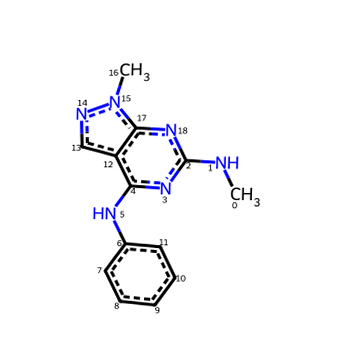 CNc1nc(Nc2ccccc2)c2cnn(C)c2n1